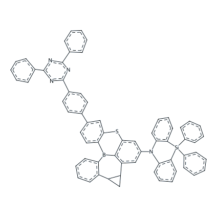 c1ccc(-c2nc(-c3ccccc3)nc(-c3ccc(-c4ccc5c(c4)Sc4cc(N6c7ccccc7[Si](c7ccccc7)(c7ccccc7)c7ccccc76)cc6c4B5c4ccccc4C4CC64)cc3)n2)cc1